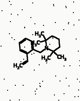 C=Cc1ccccc1CN1C(C)(C)CCCC1(C)C